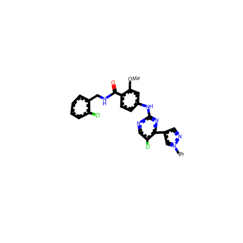 COc1cc(Nc2ncc(Cl)c(-c3cnn(C(C)C)c3)n2)ccc1C(=O)NCc1ccccc1Cl